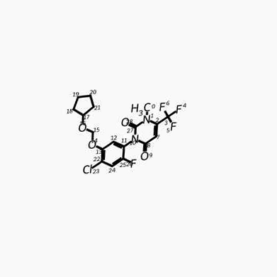 Cn1c(C(F)(F)F)cc(=O)n(-c2cc(OCOC3CCCC3)c(Cl)cc2F)c1=O